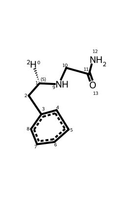 [2H][C@@H](Cc1ccccc1)NCC(N)=O